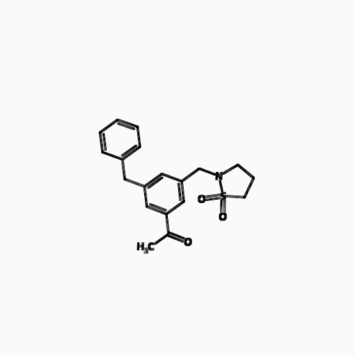 CC(=O)c1cc(Cc2ccccc2)cc(CN2CCCS2(=O)=O)c1